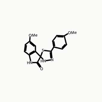 COc1ccc(C2=NNC3(S2)C(=O)Nc2ccc(OC)cc23)cc1